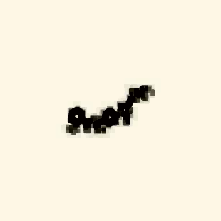 Cc1ccccc1C(=O)NC(=N)c1ccc(N2CC(COS(C)(=O)=O)OC2=O)cc1